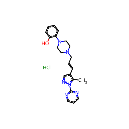 Cc1c(/C=C/CN2CCN(c3ccccc3O)CC2)cnn1-c1ncccn1.Cl